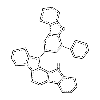 c1ccc(-c2cc(-n3c4ccccc4c4ccc5c6ccccc6[nH]c5c43)cc3c2oc2ccccc23)cc1